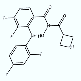 O=C(c1ccc(F)c(F)c1Nc1ccc(I)cc1F)N(O)C(=O)C1CNC1